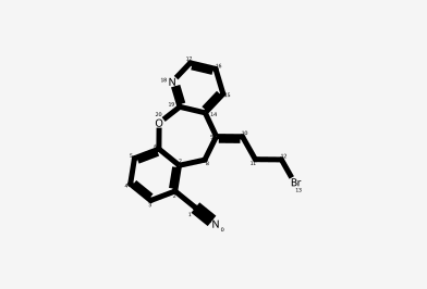 N#Cc1cccc2c1CC(=CCCBr)c1cccnc1O2